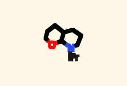 CC(C)N1CCCC2CCCOC21